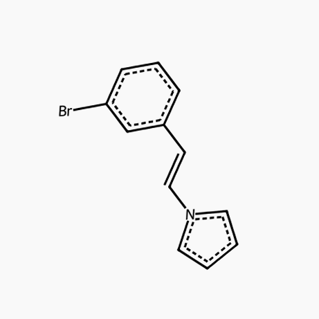 Brc1cccc(C=Cn2cccc2)c1